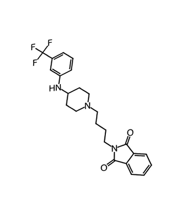 O=C1c2ccccc2C(=O)N1CCCCN1CCC(Nc2cccc(C(F)(F)F)c2)CC1